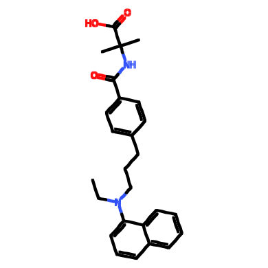 CCN(CCCc1ccc(C(=O)NC(C)(C)C(=O)O)cc1)c1cccc2ccccc12